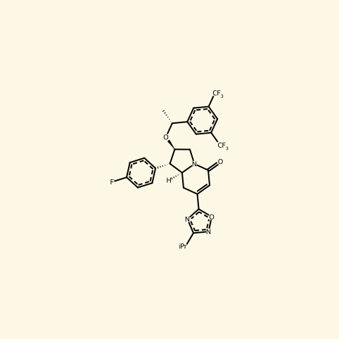 CC(C)c1noc(C2=CC(=O)N3C[C@H](O[C@H](C)c4cc(C(F)(F)F)cc(C(F)(F)F)c4)[C@@H](c4ccc(F)cc4)[C@@H]3C2)n1